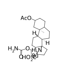 CCC(C)C(OC(N)=O)[C@]12CC[C@H]3[C@@H](CCC4CCC(OC(C)=O)C[C@@]43C)[C@]1(N)CCC2C(=O)O